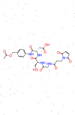 CC(=O)OCc1ccc(NC(=O)[C@H](CC(=O)O)NC(=O)[C@H](CO)NC(=O)[C@@H](C)NC(=O)CCN2C(=O)C=CC2=O)cc1